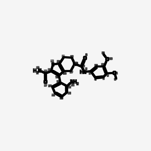 COc1ccc(NC(=O)N2CCc3sc(C(N)=O)c(-c4ccccc4N)c3C2)cc1OC